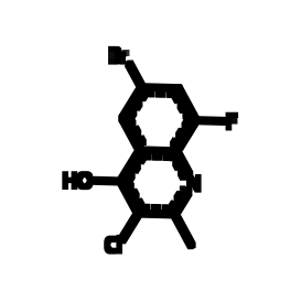 Cc1nc2c(F)cc(Br)cc2c(O)c1Cl